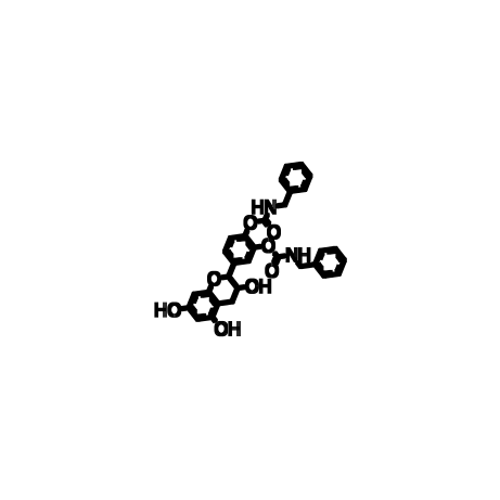 O=C(NCc1ccccc1)Oc1ccc(C2Oc3cc(O)cc(O)c3CC2O)cc1OC(=O)NCc1ccccc1